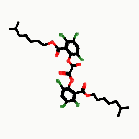 CC(C)CCCCCOC(=O)c1c(Cl)c(Cl)cc(Cl)c1OC(=O)C(=O)Oc1c(Cl)cc(Cl)c(Cl)c1C(=O)OCCCCCC(C)C